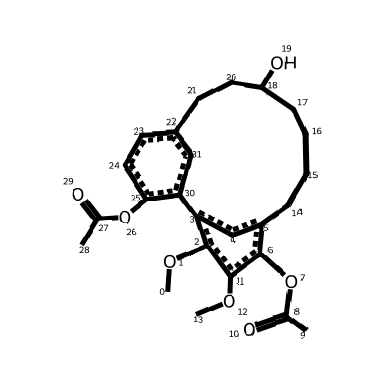 COc1c2cc(c(OC(C)=O)c1OC)CCCCC(O)CCc1ccc(OC(C)=O)c-2c1